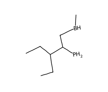 CBCC(P)C(CC)CC